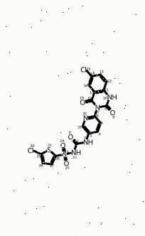 O=C(Nc1ccc(-n2c(=O)[nH]c3ccc(Cl)cc3c2=O)nc1)NS(=O)(=O)c1ccc(Cl)s1